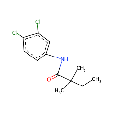 CCC(C)(C)C(=O)Nc1ccc(Cl)c(Cl)c1